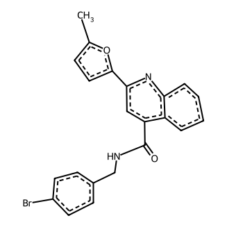 Cc1ccc(-c2cc(C(=O)NCc3ccc(Br)cc3)c3ccccc3n2)o1